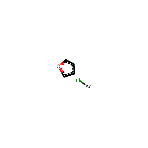 CC(=O)Cl.c1ccoc1